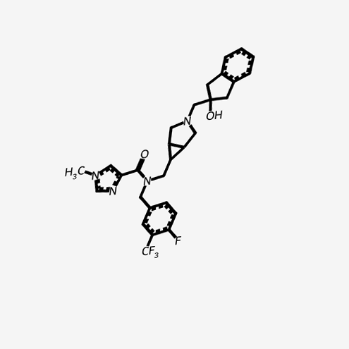 Cn1cnc(C(=O)N(Cc2ccc(F)c(C(F)(F)F)c2)CC2C3CN(CC4(O)Cc5ccccc5C4)CC32)c1